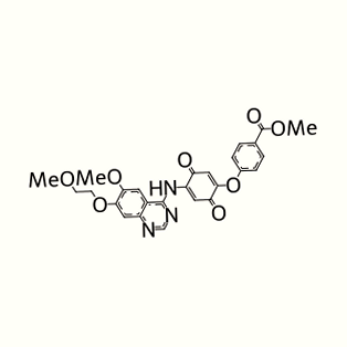 COCCOc1cc2ncnc(NC3=CC(=O)C(Oc4ccc(C(=O)OC)cc4)=CC3=O)c2cc1OC